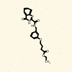 CCOC(=O)CCCOc1cccc(CNC(=O)c2nc3ccccc3c(=O)[nH]2)c1